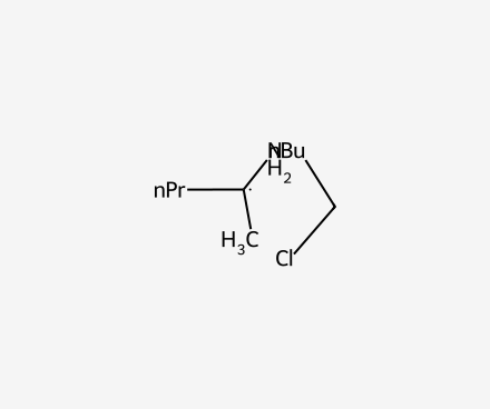 CCCCCCl.CCC[C](C)N